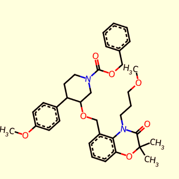 COCCCN1C(=O)C(C)(C)Oc2cccc(COC3CN(C(=O)OCc4ccccc4)CCC3c3ccc(OC)cc3)c21